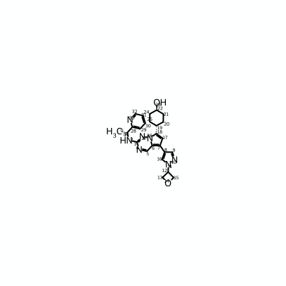 C[C@@H](Nc1ncc2c(-c3cnn(C4COC4)c3)cc([C@H]3CC[C@H](O)CC3)n2n1)c1ccccn1